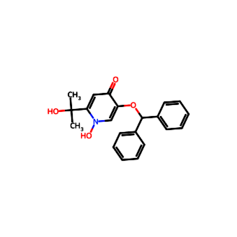 CC(C)(O)c1cc(=O)c(OC(c2ccccc2)c2ccccc2)cn1O